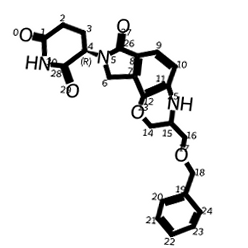 O=C1CC[C@@H](N2Cc3c(ccc4c3OCC(COCc3ccccc3)N4)C2=O)C(=O)N1